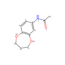 CC(=O)Nc1ccc2c(c1)OCCCO2